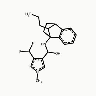 CCCC1C2CCC1(NC(O)c1cn(C)nc1C(F)F)c1ccccc12